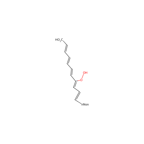 CCCCCCCCCC=CC=C(C=CC=CC=CC(=O)O)OO